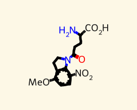 COc1ccc([N+](=O)[O-])c2c1CCN2C(=O)CCC(N)C(=O)O